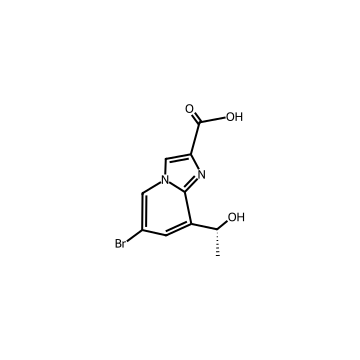 C[C@@H](O)c1cc(Br)cn2cc(C(=O)O)nc12